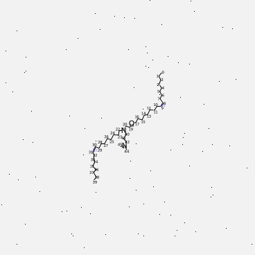 CCCCCCCC/C=C\CCCCCCCCOCCN(CCCCCCCC/C=C\CCCCCCCC)CCCN(C)C